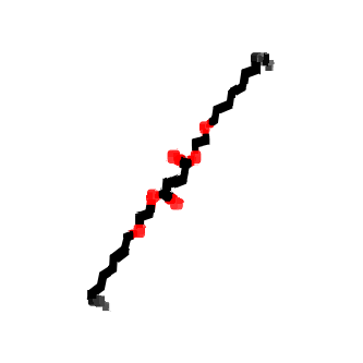 C=CCCCC=CCOCCOC(=O)/C=C/C(=O)OCCOCC=CCCCC=C